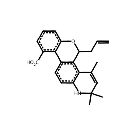 C=CCC1Oc2cccc(C(=O)O)c2-c2ccc3c(c21)C(C)=CC(C)(C)N3